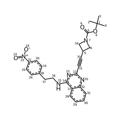 CC(C)(C)OC(=O)N1CC(C#Cc2nc(NCCc3ccc([N+](=O)[O-])cc3)c3ccccc3n2)C1